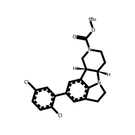 CC(C)(C)OC(=O)N1CC[C@H]2[C@@H](C1)c1cc(-c3cc(Cl)ccc3Cl)cc3c1N2CC3